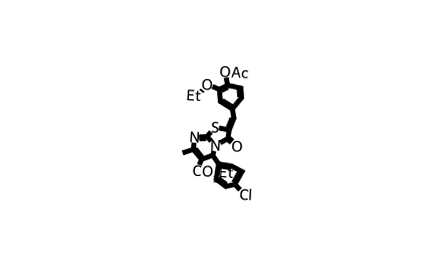 CCOC(=O)C1=C(C)N=c2s/c(=C\c3ccc(OC(C)=O)c(OCC)c3)c(=O)n2C1c1ccc(Cl)cc1